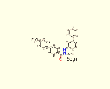 O=C(N[C@@H](Cc1ccc(-c2ccccc2)cc1)C(=O)O)c1ccc(-c2ccc(C(F)(F)F)cc2)cc1